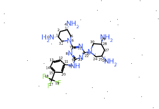 N[C@@H]1C[C@H](N)CN(c2nc(Nc3cccc(C(F)(F)F)c3)nc(N3C[C@H](N)C[C@H](N)C3)n2)C1